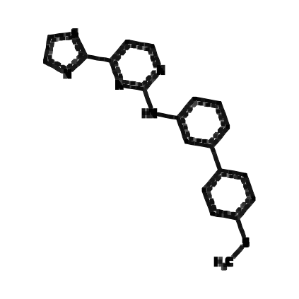 CSc1ccc(-c2cccc(Nc3nccc(-c4nccs4)n3)c2)cc1